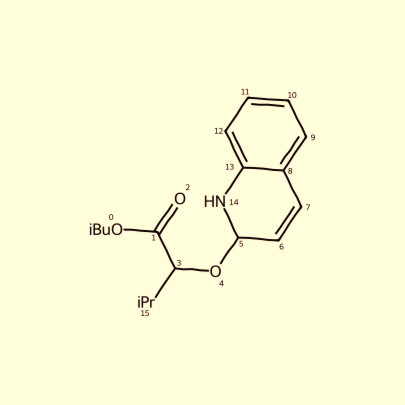 CC(C)COC(=O)C(OC1C=Cc2ccccc2N1)C(C)C